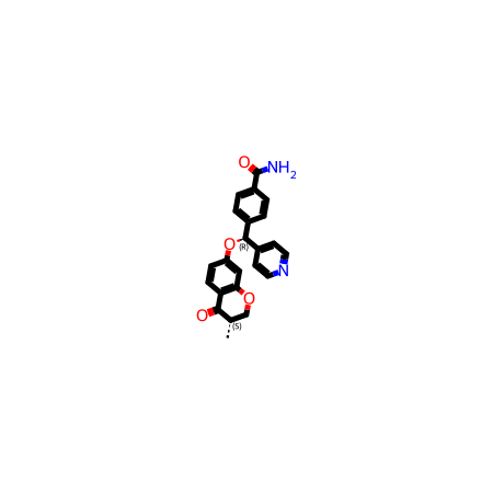 C[C@H]1COc2cc(O[C@@H](c3ccncc3)c3ccc(C(N)=O)cc3)ccc2C1=O